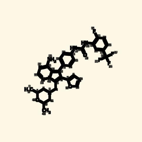 CC1CN(Cc2c(-c3cnco3)c(-c3ccc(NC(=O)Nc4cc(C(F)(F)F)ccc4F)cc3)c3c(N)ncnn23)CC(C)O1